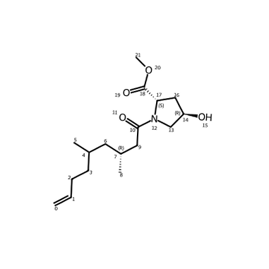 C=CCCC(C)C[C@@H](C)CC(=O)N1C[C@H](O)C[C@H]1C(=O)OC